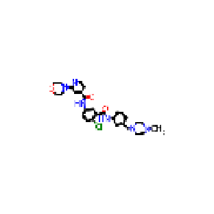 CN1CCN(Cc2cccc(NC(=O)c3cc(NC(=O)c4ccnc(N5CCOCC5)c4)ccc3Cl)c2)CC1